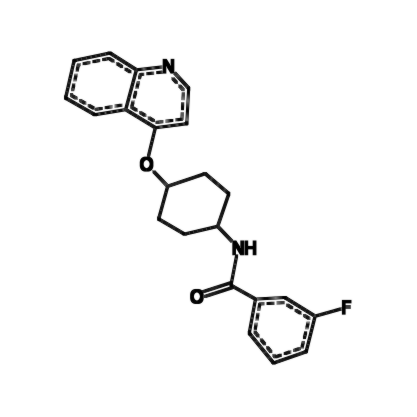 O=C(NC1CCC(Oc2ccnc3ccccc23)CC1)c1cccc(F)c1